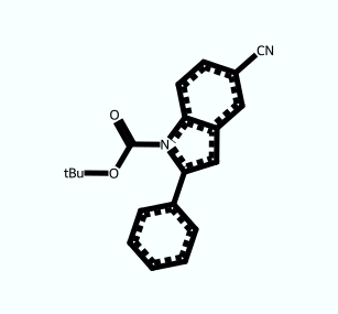 CC(C)(C)OC(=O)n1c(-c2ccccc2)cc2cc(C#N)ccc21